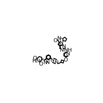 CN(C)C(=O)c1cc2cnc(Nc3ccc(OC4CC(CN5CCN(c6cccc7c([C@H]8CCC(=O)NC8=O)nn(C)c67)CC5)C4)cn3)nc2n1C1CCCC1